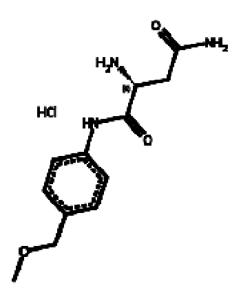 COCc1ccc(NC(=O)[C@H](N)CC(N)=O)cc1.Cl